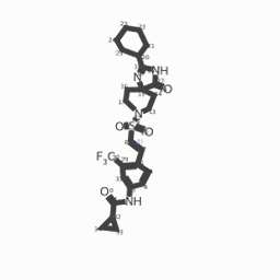 O=C(Nc1ccc(/C=C/S(=O)(=O)N2CCC3(CC2)N=C(C2CCCCC2)NC3=O)c(C(F)(F)F)c1)C1CC1